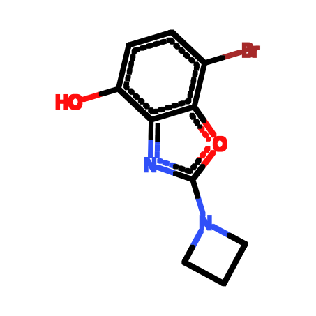 Oc1ccc(Br)c2oc(N3CCC3)nc12